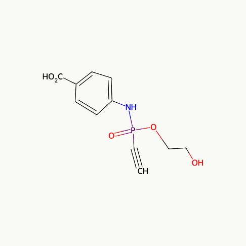 C#CP(=O)(Nc1ccc(C(=O)O)cc1)OCCO